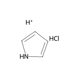 Cl.[H+].c1cc[nH]c1